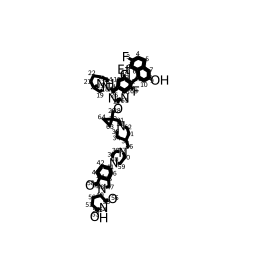 CCc1c(F)ccc2cc(O)cc(-c3c(Cl)cc4c(N5CC6CCC(C5)N6)nc(OCC5(CN6CCC(CN7CCN(c8ccc9c(c8)CN([C@H]8CCC(=O)NC8=O)C9=O)CC7)CC6)CC5)nc4c3F)c12